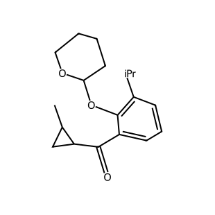 CC(C)c1cccc(C(=O)C2CC2C)c1OC1CCCCO1